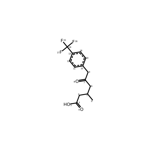 CC(CC(=O)O)CC(=O)Cc1ccc(C(F)(F)F)cc1